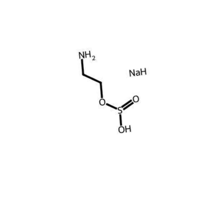 NCCOS(=O)O.[NaH]